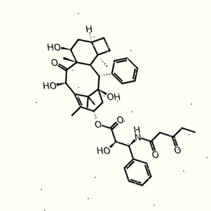 CCC(=O)CC(=O)N[C@@H](c1ccccc1)[C@@H](O)C(=O)O[C@H]1C[C@@]2(O)[C@@H](c3ccccc3)C3[C@]4(C)CC[C@@H]4C[C@H](O)[C@@]3(C)C(=O)[C@H](O)C(=C1C)C2(C)C